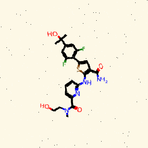 CN(CCO)C(=O)c1cccc(Nc2sc(-c3c(F)cc(C(C)(C)O)cc3F)cc2C(N)=O)n1